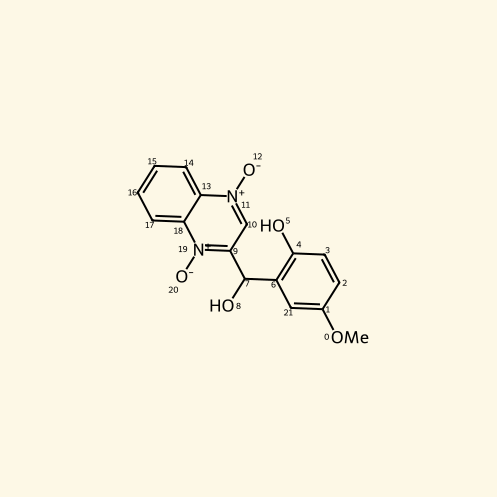 COc1ccc(O)c(C(O)c2c[n+]([O-])c3ccccc3[n+]2[O-])c1